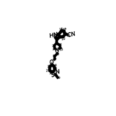 Cc1nc2cc(OCCCN3CCC(c4c[nH]c5ccc(C#N)cc45)CC3)ccc2s1